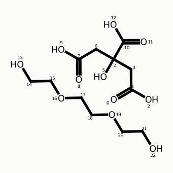 O=C(O)CC(O)(CC(=O)O)C(=O)O.OCCOCCOCCO